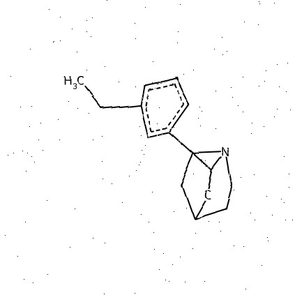 CCc1cccc(C2CC3CCN2CC3)c1